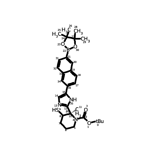 CC(C)(C)OC(=O)N1CCCC(S)[C@@]1(C)c1ncc(-c2ccc3cc(B4OC(C)(C)C(C)(C)O4)ccc3c2)[nH]1